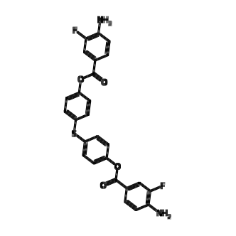 Nc1ccc(C(=O)Oc2ccc(Sc3ccc(OC(=O)c4ccc(N)c(F)c4)cc3)cc2)cc1F